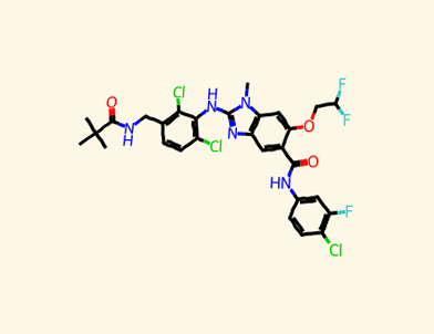 Cn1c(Nc2c(Cl)ccc(CNC(=O)C(C)(C)C)c2Cl)nc2cc(C(=O)Nc3ccc(Cl)c(F)c3)c(OCC(F)F)cc21